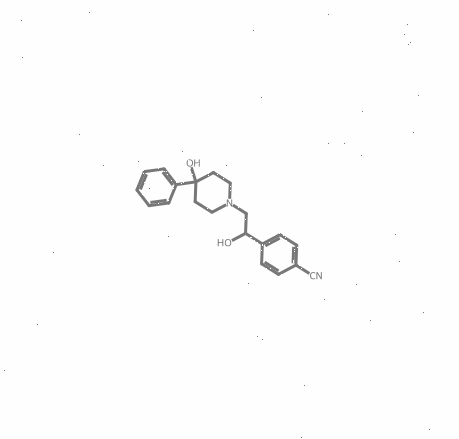 N#Cc1ccc(C(O)CN2CCC(O)(c3ccccc3)CC2)cc1